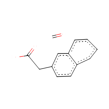 C=O.O=C(O)Cc1ccc2ccccc2c1